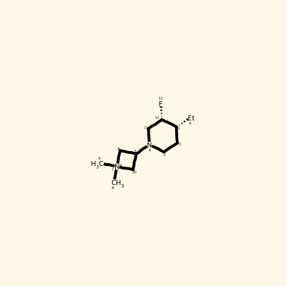 CC[C@@H]1CCN(C2C[N+](C)(C)C2)C[C@@H]1F